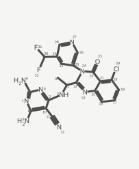 CC(Nc1nc(N)nc(N)c1C#N)c1nc2cccc(Cl)c2c(=O)n1-c1cncc(C(F)F)c1